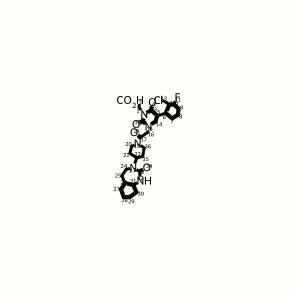 O=C(O)Cn1c(=O)c(-c2cccc(F)c2Cl)cn(CC(=O)N2CCC(N3CCc4ccccc4NC3=O)CC2)c1=O